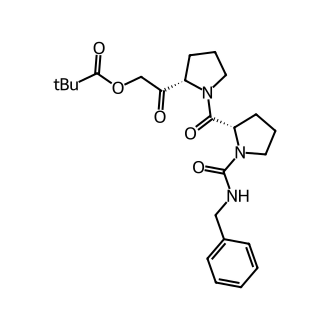 CC(C)(C)C(=O)OCC(=O)[C@@H]1CCCN1C(=O)[C@@H]1CCCN1C(=O)NCc1ccccc1